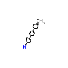 C[C@H]1CC=C(c2ccc(-c3ccc(C#N)cc3)cc2)CC1